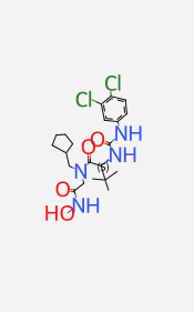 CC(C)(C)[C@H](NC(=O)Nc1ccc(Cl)c(Cl)c1)C(=O)N(CC(=O)NO)CC1CCCC1